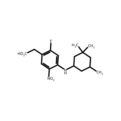 CC1CC(Nc2cc(F)c(CC(=O)O)cc2[N+](=O)[O-])CC(C)(C)C1